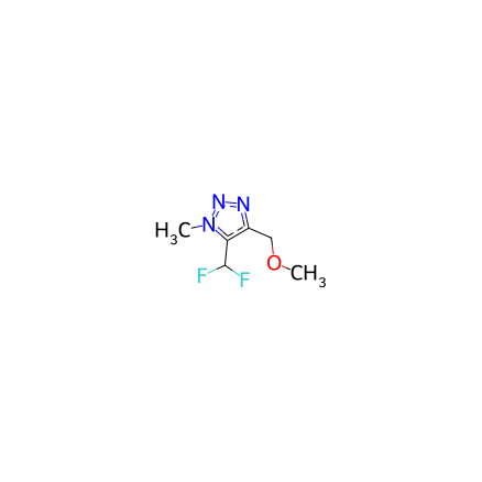 COCc1nnn(C)c1C(F)F